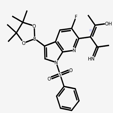 CC(=N)/C(=C(/C)O)c1nc2c(cc1F)c(B1OC(C)(C)C(C)(C)O1)cn2S(=O)(=O)c1ccccc1